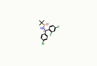 CC(C)(C)[S+]([O-])N[C@H](c1ccc(Br)cc1)c1ccc(F)cc1F